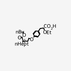 CCCCCCCN(CCOc1ccc(CC(OCC)C(=O)O)cc1)C(=O)OCCCC